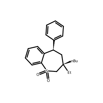 CCCC[C@]1(CC)C[C@H](c2ccccc2)c2ccccc2S(=O)(=O)C1